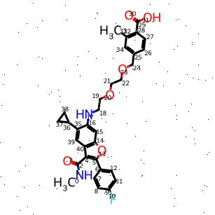 CNC(=O)c1c(-c2ccc(F)cc2)oc2cc(NCCOCCOCc3ccc(C(=O)O)c(C)c3)c(C3CC3)cc12